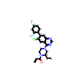 C=CC(=O)N1CCN(c2ncnc3cc(-c4ccc(F)cc4F)c(Cl)cc23)CC1CC